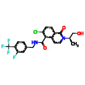 C[C@H](CO)n1ccc2c(C(=O)NCc3ccc(C(F)(F)F)c(F)c3)c(Cl)ccc2c1=O